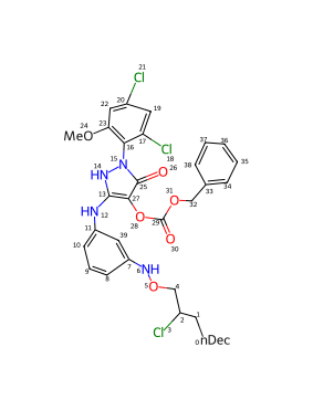 CCCCCCCCCCCC(Cl)CONc1cccc(Nc2[nH]n(-c3c(Cl)cc(Cl)cc3OC)c(=O)c2OC(=O)OCc2ccccc2)c1